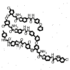 Cc1ccc(NC(=O)Nc2ccc3c(c2)CN(C(=O)[C@H](N)Cc2ccc(Cl)cc2Cl)C3)cc1.N[C@H](Cc1ccc(Cl)cc1Cl)C(=O)N1Cc2ccc(NC(=O)Nc3ccc(-c4ccccc4)cc3)cc2C1.N[C@H](Cc1ccc(Cl)cc1Cl)C(=O)N1Cc2ccc(NC(=O)Nc3ccc(Oc4ccccc4)cc3)cc2C1.N[C@H](Cc1ccc(Cl)cc1Cl)C(=O)N1Cc2ccc(NC(=O)[C@@H](N)Cc3ccc(Cl)cc3Cl)cc2C1